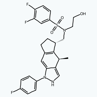 C[C@H]1C2=CNN(c3ccc(F)cc3)C2=CC2=C1[C@@H](CN(CCO)S(=O)(=O)c1ccc(F)c(F)c1)CC2